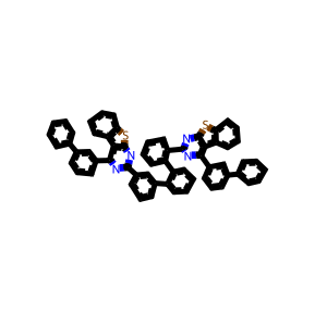 c1ccc(-c2cccc(-c3nc(-c4cccc(-c5ccccc5-c5ccccc5-c5nc(-c6cccc(-c7ccccc7)c6)c6c(n5)sc5ccccc56)c4)nc4sc5ccccc5c34)c2)cc1